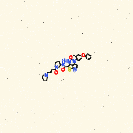 Cc1cc(Oc2ccccc2)ccc1N1C(=O)Nc2c(C(=O)N[C@@H]3CCCN(C(=O)/C=C/CN4CCCCC4)C3)sc3nccc1c23